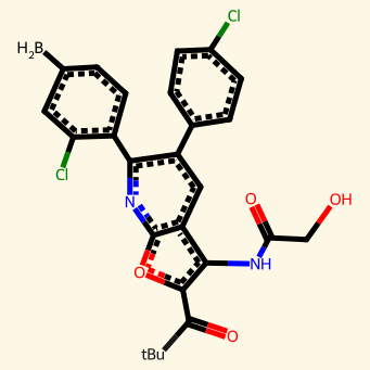 Bc1ccc(-c2nc3oc(C(=O)C(C)(C)C)c(NC(=O)CO)c3cc2-c2ccc(Cl)cc2)c(Cl)c1